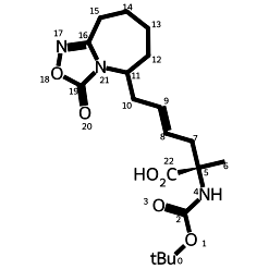 CC(C)(C)OC(=O)N[C@@](C)(CC=CCC1CCCCc2noc(=O)n21)C(=O)O